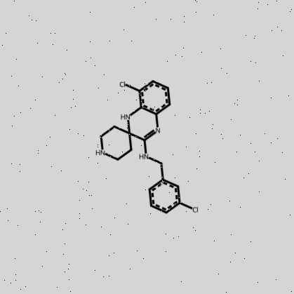 Clc1cccc(CNC2=Nc3cccc(Cl)c3NC23CCNCC3)c1